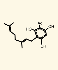 CC(=O)c1c(O)cc(O)c(C/C=C(\C)CCC=C(C)C)c1O